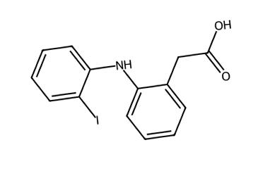 O=C(O)Cc1ccccc1Nc1ccccc1I